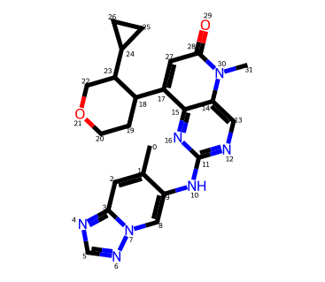 Cc1cc2ncnn2cc1Nc1ncc2c(n1)c(C1CCOCC1C1CC1)cc(=O)n2C